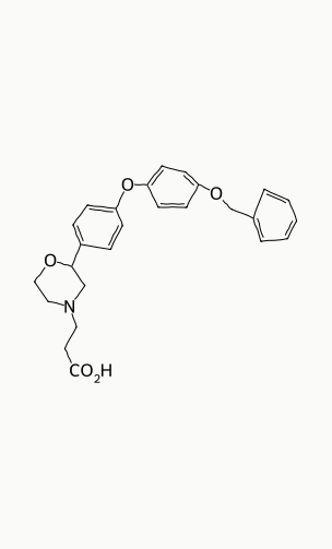 O=C(O)CCN1CCOC(c2ccc(Oc3ccc(OCc4ccccc4)cc3)cc2)C1